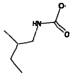 CCC(C)CNC([O])=O